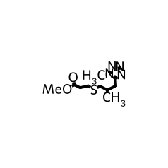 COC(=O)CCSCC(C)Cc1nnnn1C